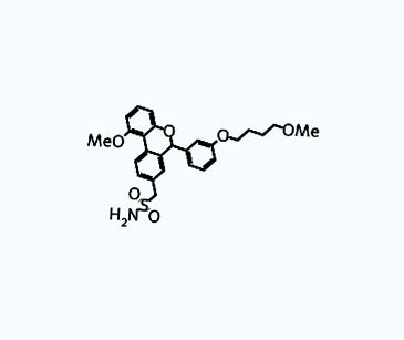 COCCCCOc1cccc(C2Oc3cccc(OC)c3-c3ccc(CS(N)(=O)=O)cc32)c1